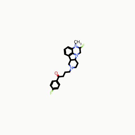 CN1c2cccc3c2N(CC1F)C1CCN(CCCC(=O)c2ccc(F)cc2)CC31